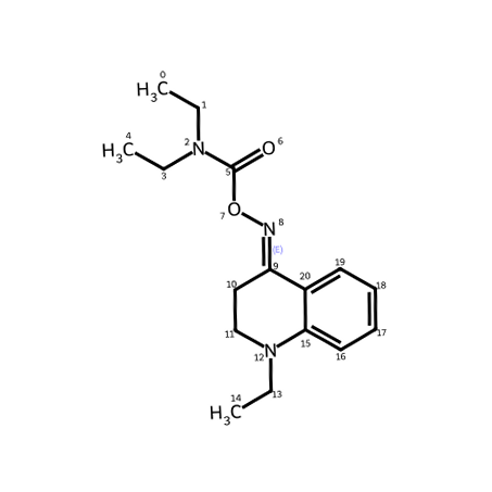 CCN(CC)C(=O)O/N=C1\CCN(CC)c2ccccc21